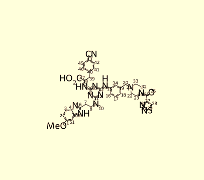 COc1ccc2nc(CCN(C)c3nc(Nc4cccc(CN5CCN(C(=O)c6csnn6)CC5)c4)nc(NC(Cc4ccc(C#N)cc4)C(=O)O)n3)[nH]c2c1